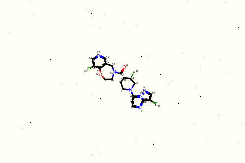 O=C([C@H]1CCN(c2ccnc3c(F)cnn23)C[C@@H]1F)N1CCOc2c(F)cncc2C1